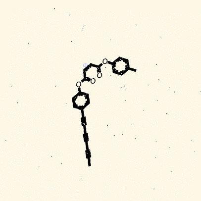 CC#CC#CC#Cc1ccc(OC(=O)/C=C\C(=O)Oc2ccc(C)cc2)cc1